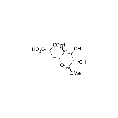 CO[C@H]1OC(CC(C(=O)O)C(=O)O)[C@@H](O)C(O)C1O